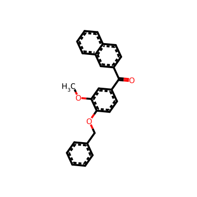 COc1cc(C(=O)c2ccc3ccccc3c2)ccc1OCc1ccccc1